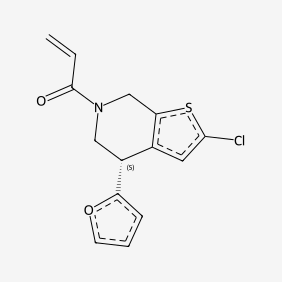 C=CC(=O)N1Cc2sc(Cl)cc2[C@H](c2ccco2)C1